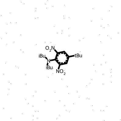 CCC(C)N(c1c([N+](=O)[O-])cc(C(C)(C)C)cc1[N+](=O)[O-])C(C)CC